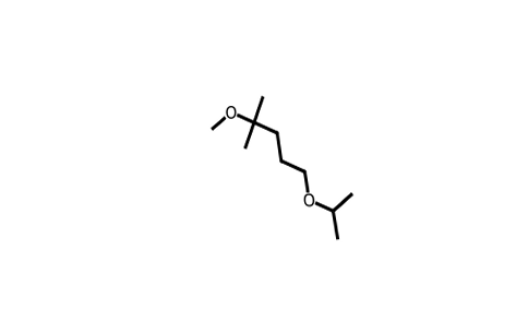 COC(C)(C)CCCOC(C)C